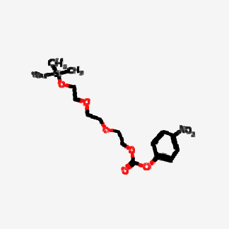 CC(C)(C)[Si](C)(C)OCCOCCOCCOC(=O)Oc1ccc([N+](=O)[O-])cc1